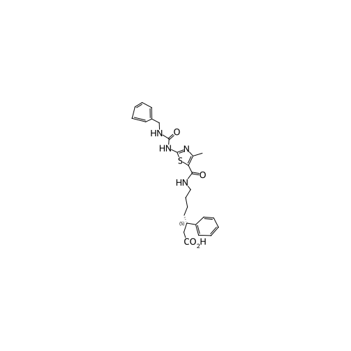 Cc1nc(NC(=O)NCc2ccccc2)sc1C(=O)NCCCC[C@@H](CC(=O)O)c1ccccc1